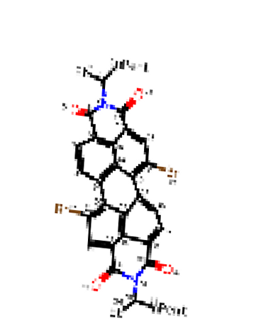 CCCCCC(CC)N1C(=O)c2ccc3c4c(Br)cc5c6c(ccc(c7c(Br)cc(c2c37)C1=O)c64)C(=O)N(C(CC)CCCCC)C5=O